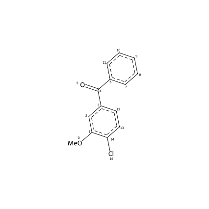 COc1cc(C(=O)c2ccccc2)ccc1Cl